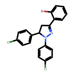 Clc1ccc(C2CC(c3ccccc3Br)=NN2c2ccc(Cl)cc2)cc1